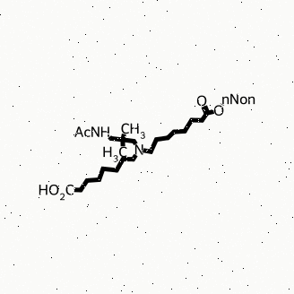 CCCCCCCCCOC(=O)CCCCCCCN(CCCCCCCC(=O)O)CC(C)(C)CNC(C)=O